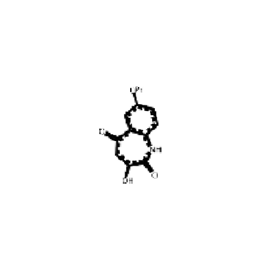 CCCc1ccc2[nH]c(=O)c(O)cc(=O)c2c1